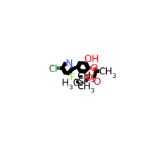 CC(Oc1ccc(-c2ncc(Cl)cc2F)cc1O)C(=O)OC[Si](C)(C)C